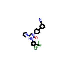 N#Cc1cccc(C2=CCC(N(CCN3CCCC3)C(=O)Nc3ccc(Cl)c(C(F)(F)F)c3)CC2)c1